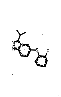 CC(C)c1nnc2ccc(Sc3ccccc3F)cn12